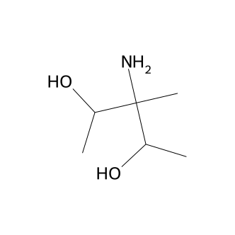 CC(O)C(C)(N)C(C)O